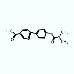 CC(=O)c1ccc(-c2ccc(SC(=O)N(C)C)cc2)cc1